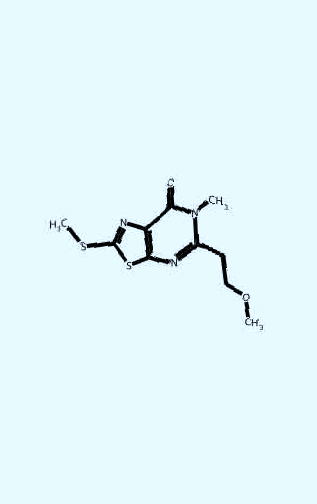 COCCc1nc2sc(SC)nc2c(=O)n1C